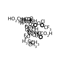 CS(=O)(=O)NC(=O)c1cc(Oc2ccc(C(F)(F)F)cc2Cl)ccc1[N+](=O)[O-].C[S+](C)C.O=C(Nc1nc(OC(F)F)cc(OC(F)F)n1)NS(=O)(=O)c1ccccc1C(=O)O.O=C(O)CNCP(=O)([O-])O